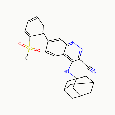 CS(=O)(=O)c1ccccc1-c1ccc2c(NC34CC5CC(CC(C5)C3)C4)c(C#N)nnc2c1